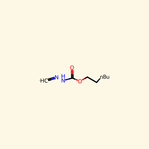 [CH]=NNC(=O)OCCCCCC